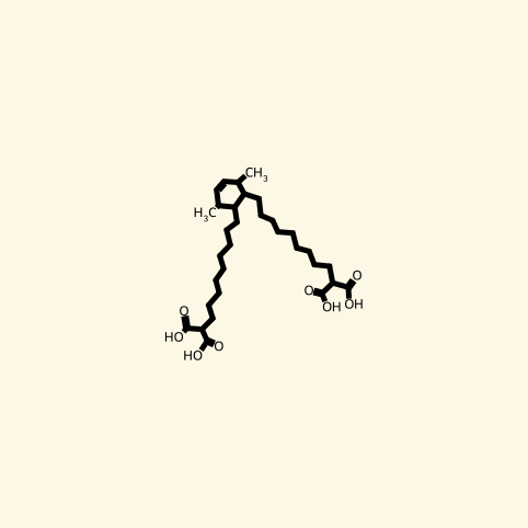 CC1C=CC(C)C(CCCCCCCCCC(C(=O)O)C(=O)O)C1CCCCCCCCCC(C(=O)O)C(=O)O